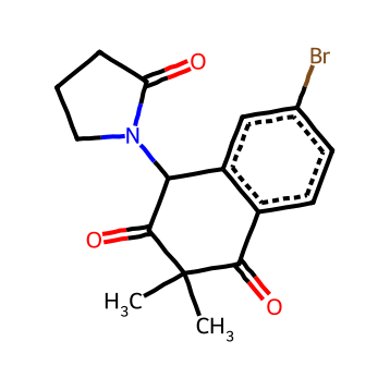 CC1(C)C(=O)c2ccc(Br)cc2C(N2CCCC2=O)C1=O